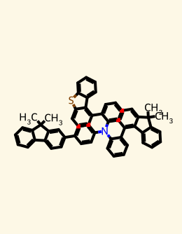 CC1(C)c2ccccc2-c2ccc(-c3ccc(N(c4ccccc4-c4cccc5c4-c4ccccc4C5(C)C)c4ccccc4-c4cccc5sc6ccccc6c45)cc3)cc21